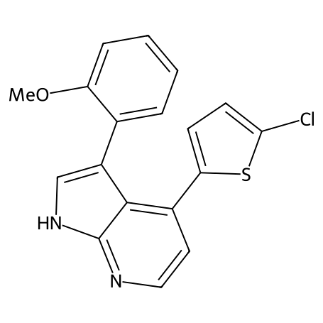 COc1ccccc1-c1c[nH]c2nccc(-c3ccc(Cl)s3)c12